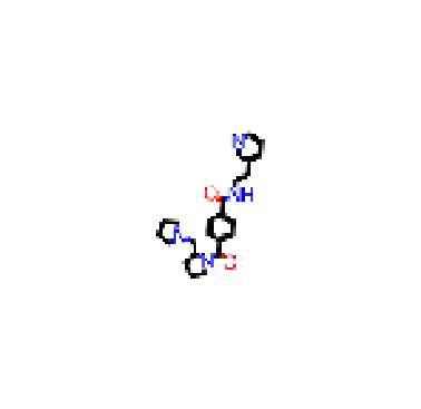 O=C(NCCc1cccnc1)c1ccc(C(=O)N2CCC[C@H]2CN2CCCC2)cc1